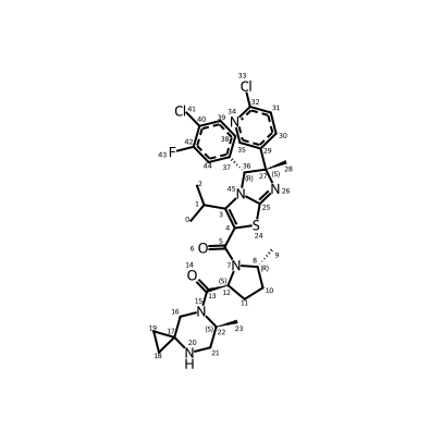 CC(C)C1=C(C(=O)N2[C@H](C)CC[C@H]2C(=O)N2CC3(CC3)NC[C@@H]2C)SC2=N[C@@](C)(c3ccc(Cl)nc3)[C@@H](c3ccc(Cl)c(F)c3)N21